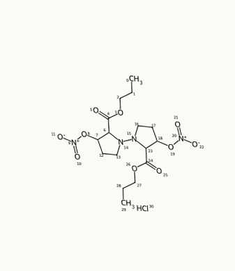 CCCOC(=O)C1C(O[N+](=O)[O-])CCN1N1CCC(O[N+](=O)[O-])C1C(=O)OCCC.Cl